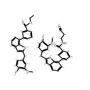 CCOC(=O)c1cccc(-c2cccc3cc(Cc4ccc(F)c(OC)c4)sc23)c1.COc1cc(Cc2cc3cccc(-c4cccc(C(=O)NCCC#N)c4)c3s2)ccc1F